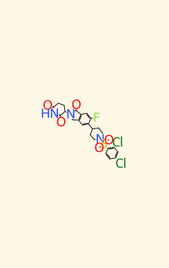 O=C1CCC(N2Cc3cc(C4CCN(S(=O)(=O)c5ccc(Cl)cc5Cl)CC4)c(F)cc3C2=O)C(=O)N1